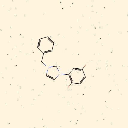 Brc1ccc(Br)c(N2C=CN(Cc3ccccc3)C2)c1